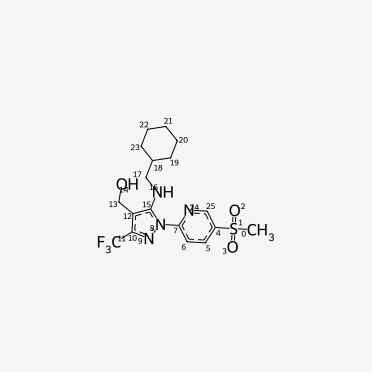 CS(=O)(=O)c1ccc(-n2nc(C(F)(F)F)c(CO)c2NCC2CCCCC2)nc1